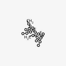 C=Cc1ccc(Oc2ccc(C3(c4ccccc4)c4cc(-c5ccccc5)ccc4-c4ccc(N(c5ccc(-c6ccc(N(c7ccc8c(c7)C(c7ccccc7)(c7ccc(Oc9ccc(C=C)cc9)cc7)c7cc(-c9ccccc9)ccc7-8)c7c(F)cccc7F)cc6)cc5)c5c(F)cccc5F)cc43)cc2)cc1